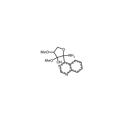 COC1COC(N)(c2ncnc3ccccc23)C1(O)OC